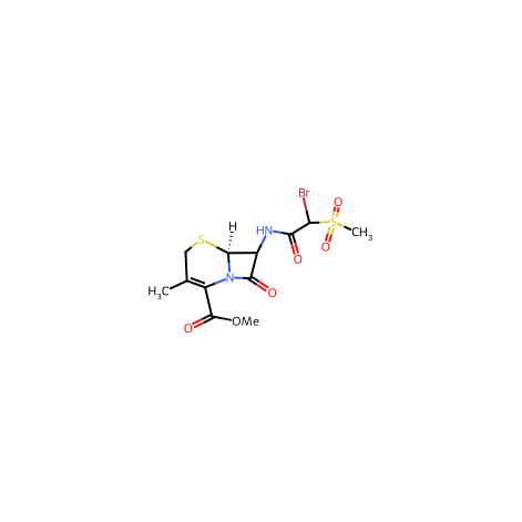 COC(=O)C1=C(C)CS[C@H]2C(NC(=O)C(Br)S(C)(=O)=O)C(=O)N12